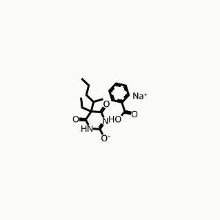 CCCC(C)C1(CC)C(=O)N=C([O-])NC1=O.O=C(O)c1ccccc1.[Na+]